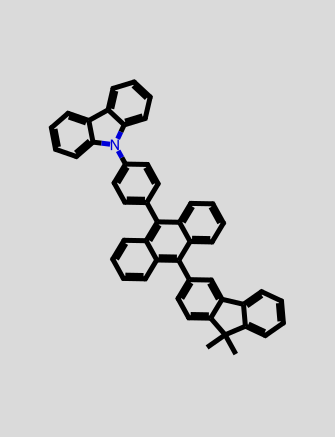 CC1(C)c2ccccc2-c2cc(-c3c4ccccc4c(-c4ccc(-n5c6ccccc6c6ccccc65)cc4)c4ccccc34)ccc21